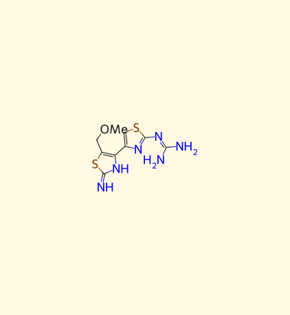 COCc1sc(=N)[nH]c1-c1csc(N=C(N)N)n1